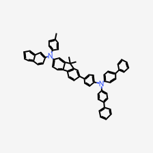 Cc1ccc(N(c2ccc3c(c2)C(C)(C)c2cc(-c4ccc(N(c5ccc(-c6ccccc6)cc5)c5ccc(-c6ccccc6)cc5)cc4)ccc2-3)c2ccc3ccccc3c2)cc1